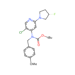 COc1ccc(CN(C(=O)OC(C)(C)C)c2cc(N3CC[C@H](F)C3)ncc2Cl)cc1